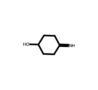 N=C1CCC(O)CC1